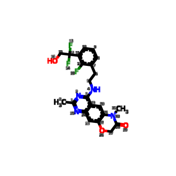 Cc1nc(NCCc2cccc(C(F)(F)CO)c2F)c2cc3c(cc2n1)OCC(=O)N3C